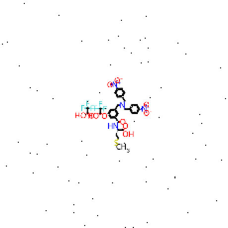 CSCC[C@H](NC(=O)c1cccc(CN(Cc2ccc([N+](=O)[O-])cc2)Cc2ccc([N+](=O)[O-])cc2)c1)C(=O)O.O=C(O)C(F)(F)F.O=C(O)C(F)(F)F